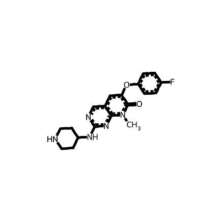 Cn1c(=O)c(Oc2ccc(F)cc2)cc2cnc(NC3CCNCC3)nc21